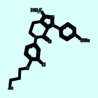 CCOC(=O)c1nn(-c2ccc(OC)cc2)c2c1CCN(c1ccc(OCCCC(C)=O)c(Cl)c1)C2=O